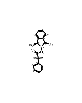 CC(C)(C(=O)ON1C(=O)c2ccccc2C1=O)c1ccccc1